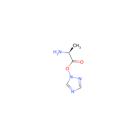 C[C@H](N)C(=O)On1cncn1